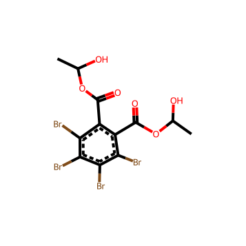 CC(O)OC(=O)c1c(Br)c(Br)c(Br)c(Br)c1C(=O)OC(C)O